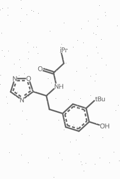 CC(C)CC(=O)NC(Cc1ccc(O)c(C(C)(C)C)c1)c1ncno1